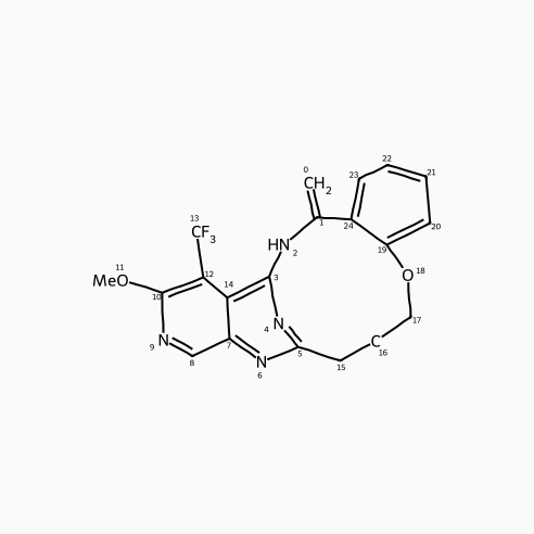 C=C1Nc2nc(nc3cnc(OC)c(C(F)(F)F)c23)CCCOc2ccccc21